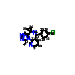 C=C1N(/C(C)=N\N)c2ncccc2C(c2ccc(Cl)cc2)=NC12CC2